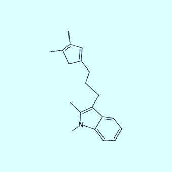 CC1=C(C)CC(CCCc2c(C)n(C)c3ccccc23)=C1